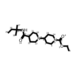 CCOC(=O)N1CCC(N2CCC(C(=O)NC(C)(C)CC)CC2)CC1